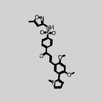 COc1cc(OC)c(-c2cccn2C)cc1/C=C/C(=O)c1ccc(S(=O)(=O)Nc2cc(C)on2)cc1